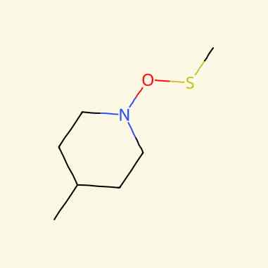 CSON1CCC(C)CC1